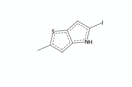 Cc1cc2[nH]c(I)cc2s1